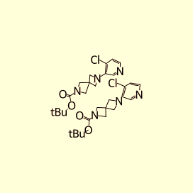 CC(C)(C)OC(=O)N1CC2(C1)CN(c1cnccc1Cl)C2.CC(C)(C)OC(=O)N1CC2(C1)CN(c1cnccc1Cl)C2